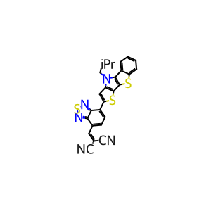 CC(C)Cn1c2cc(-c3ccc(C=C(C#N)C#N)c4nsnc34)sc2c2sc3ccccc3c21